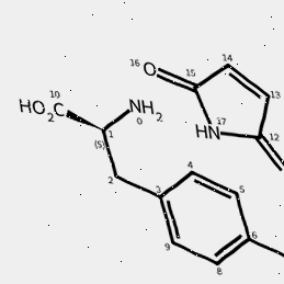 N[C@@H](Cc1ccc(O)cc1)C(=O)O.O=C1C=CC(=O)N1